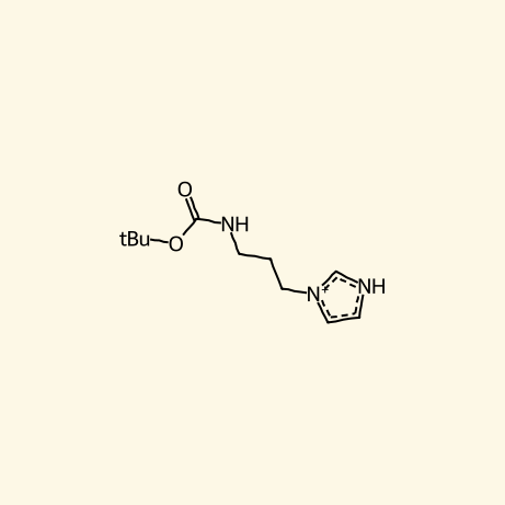 CC(C)(C)OC(=O)NCCC[n+]1cc[nH]c1